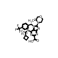 C[C@@H](Nc1nc(C(=O)O)nc2nc(N3CCOC[C@@H]3C)n(Cc3ccc(C(F)(F)F)cc3)c12)C1CCC1